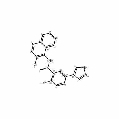 C[C@@H](Nc1c(Cl)cnc2ccccc12)c1cc(-c2cn[nH]c2)ccc1F